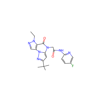 CCn1ncc2c1c(=O)n(CC(=O)Nc1ccc(F)cn1)c1cc(C(C)(C)C)nn21